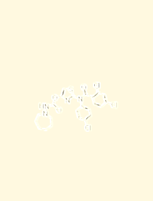 O=C(NN1CCCCCC1)Oc1csc(N(C(=O)c2ccc(Cl)cc2Cl)c2ccc(Cl)cc2)n1